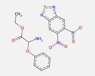 CCOC(=O)C(N)Oc1ccccc1.O=[N+]([O-])c1cc2nsnc2cc1[N+](=O)[O-]